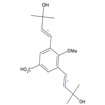 COc1c(/C=C/C(C)(C)O)cc(C(=O)O)cc1/C=C/C(C)(C)O